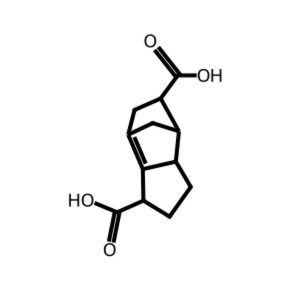 O=C(O)C1CCC2C1=C1CC(C(=O)O)C2C1